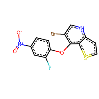 O=[N+]([O-])c1ccc(Oc2c(Br)cnc3ccsc23)c(F)c1